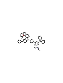 C=C/C=C(\C(=C)C)c1nc(-c2ccc(-n3c4ccc5c6c4c4c7c(cccc7ccc43)C6(c3ccccc3)c3ccccc3-5)cc2)nc(-n2c3ccccc3c3ccccc32)n1